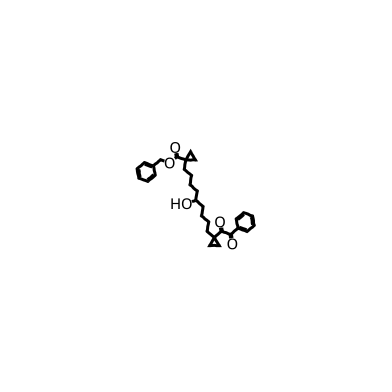 O=C(C(=O)C1(CCCCC(O)CCCCC2(C(=O)OCc3ccccc3)CC2)CC1)c1ccccc1